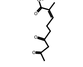 CC(=O)CC(=O)CCC=C(C)C(=O)O